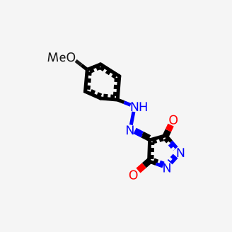 COc1ccc(NN=c2c(=O)nnc2=O)cc1